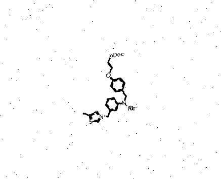 CCCCCCCCCCCCOc1ccc(CN(C(C)=O)c2cccc(C[n+]3csc(C)c3)c2)cc1.[Br-]